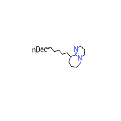 CCCCCCCCCCCCCCCC1CCCCN2CCCN=C12